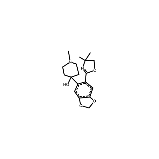 CN1CCC(O)(c2cc3c(cc2C2=NC(C)(C)CO2)OCO3)CC1